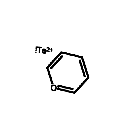 [Te+2].c1cc[o+]cc1